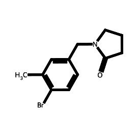 Cc1cc(CN2CCCC2=O)ccc1Br